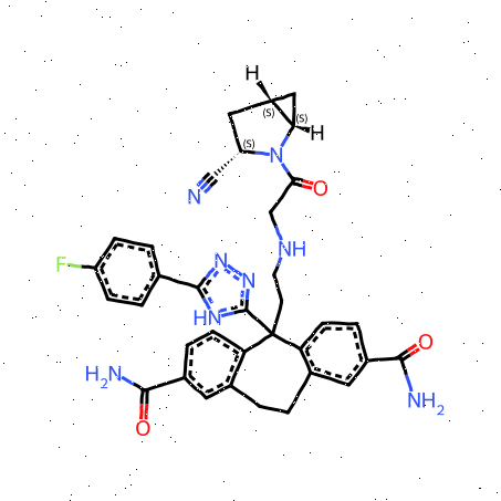 N#C[C@@H]1C[C@@H]2C[C@@H]2N1C(=O)CNCCC1(c2nnc(-c3ccc(F)cc3)[nH]2)c2ccc(C(N)=O)cc2CCc2cc(C(N)=O)ccc21